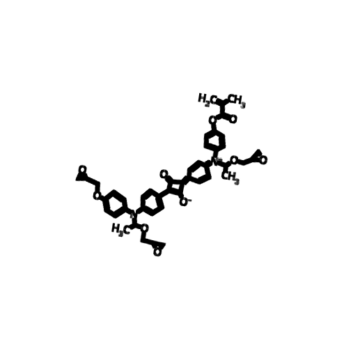 C=C(C)C(=O)Oc1ccc([N+](=C2C=CC(=C3C(=O)C(c4ccc(N(c5ccc(OCC6CO6)cc5)C(C)OCC5CO5)cc4)=C3[O-])C=C2)C(C)OCC2CO2)cc1